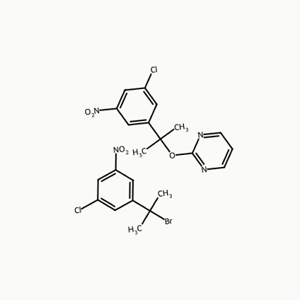 CC(C)(Br)c1cc(Cl)cc([N+](=O)[O-])c1.CC(C)(Oc1ncccn1)c1cc(Cl)cc([N+](=O)[O-])c1